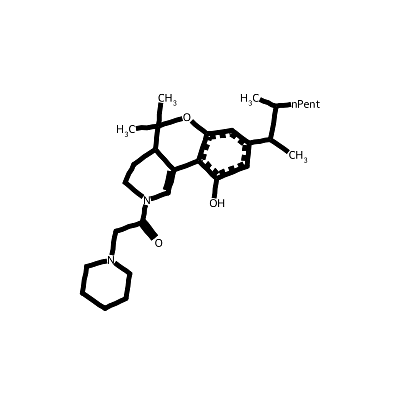 CCCCCC(C)C(C)c1cc(O)c2c(c1)OC(C)(C)C1CCN(C(=O)CN3CCCCC3)C=C21